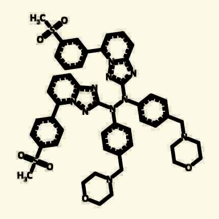 CS(=O)(=O)c1ccc(-c2cccc3nc(N(c4ccc(CN5CCOCC5)cc4)N(c4ccc(CN5CCOCC5)cc4)c4nc5cccc(-c6cccc(S(C)(=O)=O)c6)n5n4)nn23)cc1